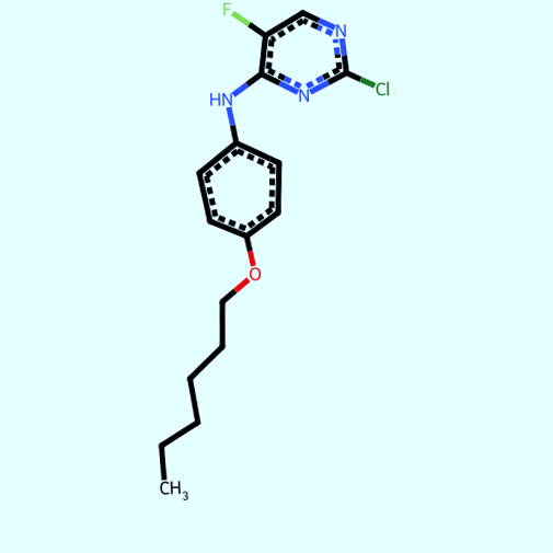 CCCCCCOc1ccc(Nc2nc(Cl)ncc2F)cc1